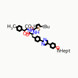 CCCCCCCOc1ccc(-c2cnc(-c3ccc(C[C@H](NC(=O)c4ccc(C(C)(C)C)s4)C(=O)NC(C(=O)O)C(O)c4ccc(C)cc4)cc3)nc2)cc1